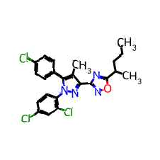 CCCC(C)c1nc(-c2nn(-c3ccc(Cl)cc3Cl)c(-c3ccc(Cl)cc3)c2C)no1